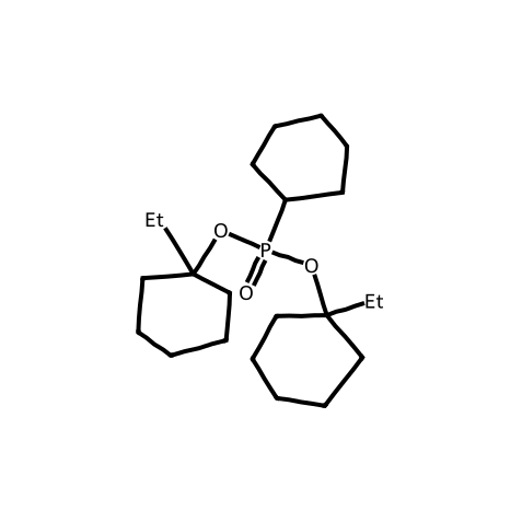 CCC1(OP(=O)(OC2(CC)CCCCC2)C2CCCCC2)CCCCC1